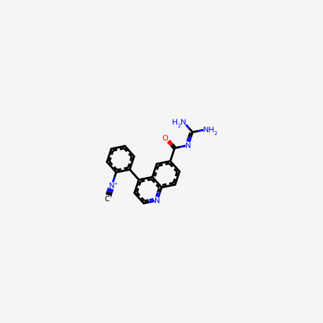 [C-]#[N+]c1ccccc1-c1ccnc2ccc(C(=O)N=C(N)N)cc12